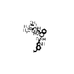 COC(=O)[C@H](CC(C)C)NC(=O)C[C@]1(O)C[C@@H](NC(=O)c2cc3cc(CI)ccc3[nH]2)Cc2ccccc21